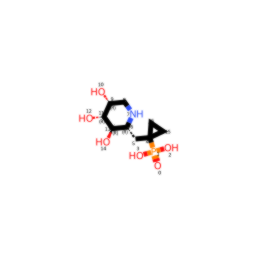 O=P(O)(O)C1(C[C@H]2NC[C@@H](O)[C@@H](O)[C@@H]2O)CC1